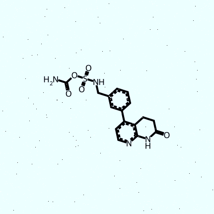 NC(=O)OS(=O)(=O)NCc1cccc(-c2ccnc3c2CCC(=O)N3)c1